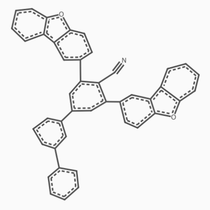 N#Cc1c(-c2ccc3oc4ccccc4c3c2)cc(-c2cccc(-c3ccccc3)c2)cc1-c1ccc2oc3ccccc3c2c1